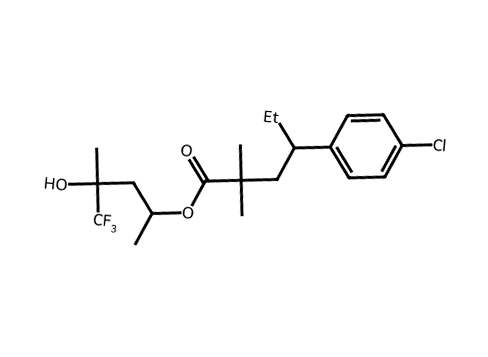 CCC(CC(C)(C)C(=O)OC(C)CC(C)(O)C(F)(F)F)c1ccc(Cl)cc1